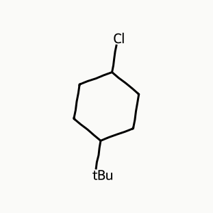 CC(C)(C)C1CCC(Cl)CC1